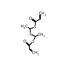 C=CC(=O)SC(C)SC(C)SC(=O)C=C